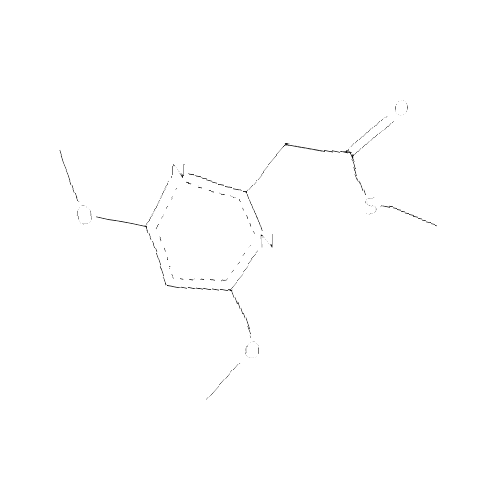 COc1cc(OC)nc(CC(=O)SC)n1